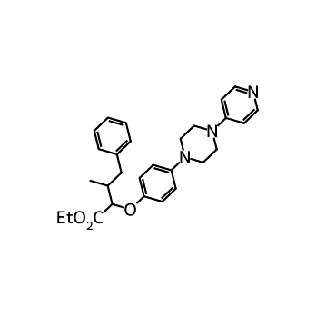 CCOC(=O)C(Oc1ccc(N2CCN(c3ccncc3)CC2)cc1)C(C)Cc1ccccc1